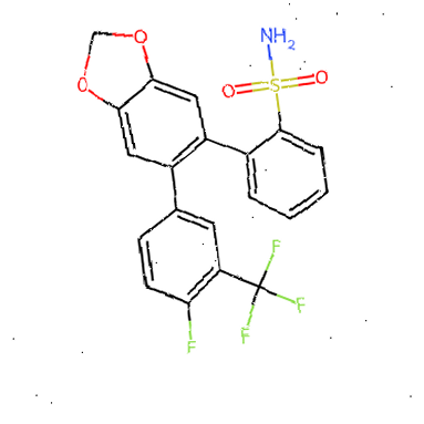 NS(=O)(=O)c1ccccc1-c1cc2c(cc1-c1ccc(F)c(C(F)(F)F)c1)OCO2